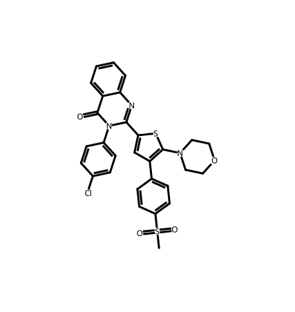 CS(=O)(=O)c1ccc(-c2cc(-c3nc4ccccc4c(=O)n3-c3ccc(Cl)cc3)sc2N2CCOCC2)cc1